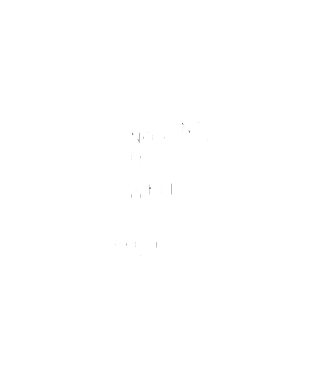 CCOC(=O)CCOC[C@@H](CO[N+](=O)[O-])O[N+](=O)[O-].Cl